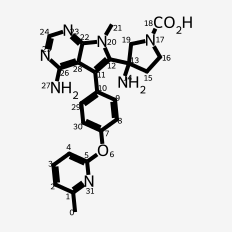 Cc1cccc(Oc2ccc(-c3c(C4(N)CCN(C(=O)O)C4)n(C)c4ncnc(N)c34)cc2)n1